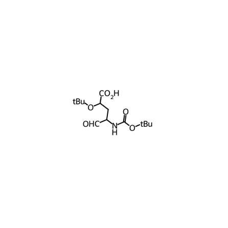 CC(C)(C)OC(=O)NC(C=O)CC(OC(C)(C)C)C(=O)O